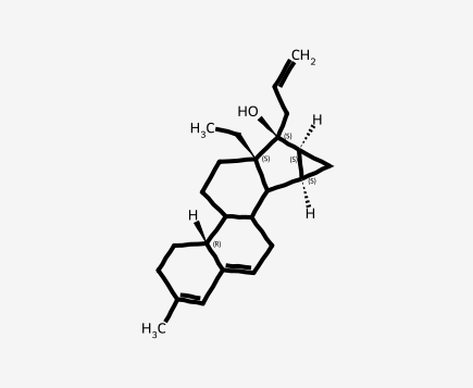 C=CC[C@]1(O)[C@H]2C[C@H]2C2C3CC=C4C=C(C)CC[C@@H]4C3CC[C@@]21CC